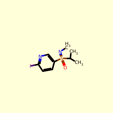 CN=S(=O)(c1ccc(I)nc1)C(C)C